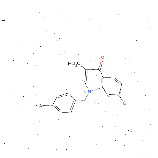 O=C(O)c1cn(Cc2ccc(C(F)(F)F)cc2)c2cc(Cl)ccc2c1=O